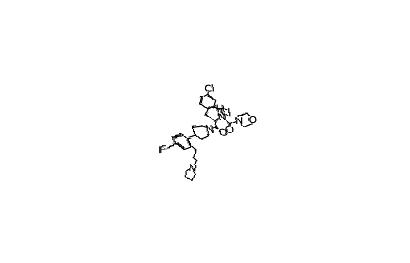 O=C(N[C@H](Cc1ccc(Cl)cc1Cl)C(=O)N1CCC(c2ccc(F)cc2CCCN2CCCC2)CC1)N1CCOCC1